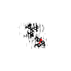 CC(C)(C)c1cc(CN(Cc2cc(C(C)(C)C)c(O)c(C(C)(C)C)c2)Cc2cc(C(C)(C)C)c(O)c(C(C)(C)C)c2)cc(C(C)(C)C)c1O.Cc1cc(C(C)(C)C)c(O)c(C)c1Cc1c(C(=O)S)ccc(C(=O)S)c1Cc1c(C)cc(C(C)(C)C)c(O)c1C